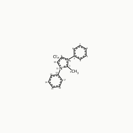 Cc1n(-c2ccccc2)cc[n+]1-c1ccccc1.[Cl-]